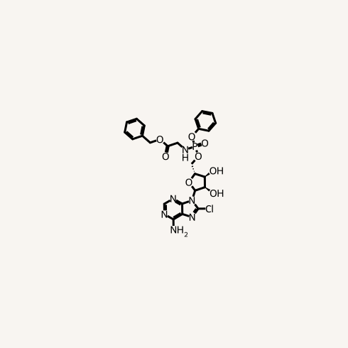 Nc1ncnc2c1nc(Cl)n2C1O[C@H](COP(=O)(NCC(=O)OCc2ccccc2)Oc2ccccc2)[C@@H](O)[C@H]1O